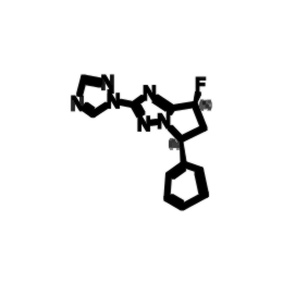 F[C@H]1C[C@@H](c2ccccc2)n2nc(-n3cncn3)nc21